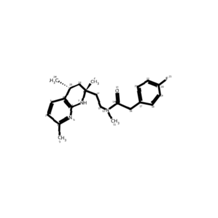 Cc1ccc2c(n1)N[C@@](C)(CCN(C)C(=O)Cc1ccc(F)cc1)C[C@H]2C